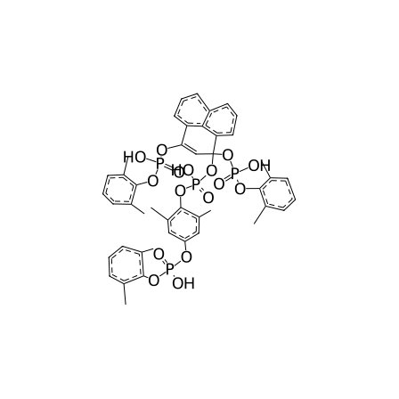 Cc1cccc(C)c1OP(=O)(O)OC1=CC(OP(=O)(O)Oc2c(C)cccc2C)(OP(=O)(O)Oc2c(C)cc(OP(=O)(O)Oc3c(C)cccc3C)cc2C)c2cccc3cccc1c23